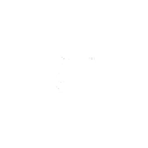 NCC1(COc2cncc(-c3ccc([N+](=O)[O-])cc3)c2)CC1